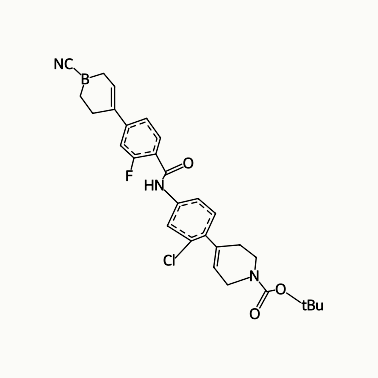 CC(C)(C)OC(=O)N1CC=C(c2ccc(NC(=O)c3ccc(C4=CCB(C#N)CC4)cc3F)cc2Cl)CC1